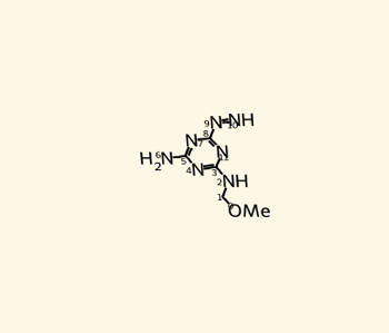 COCNc1nc(N)nc(N=N)n1